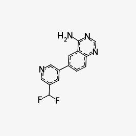 Nc1ncnc2ccc(-c3cncc(C(F)F)c3)cc12